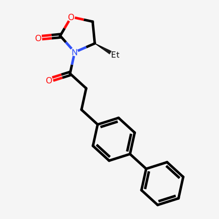 CC[C@@H]1COC(=O)N1C(=O)CCc1ccc(-c2ccccc2)cc1